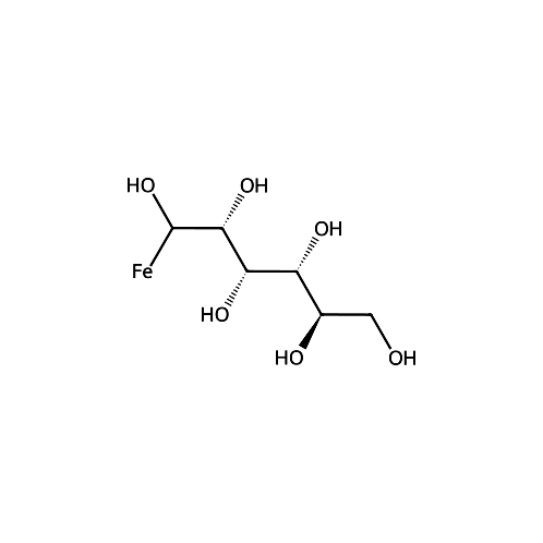 OC[C@@H](O)[C@@H](O)[C@H](O)[C@@H](O)[CH](O)[Fe]